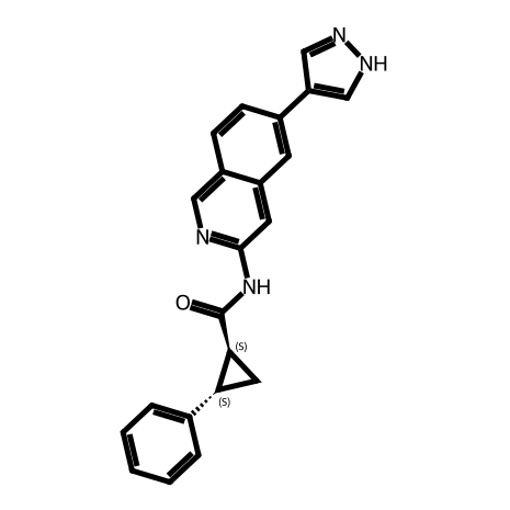 O=C(Nc1cc2cc(-c3cn[nH]c3)ccc2cn1)[C@H]1C[C@@H]1c1ccccc1